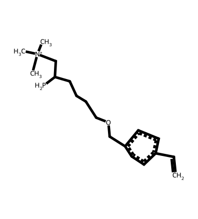 C=Cc1ccc(COCCCCC(P)C[N+](C)(C)C)cc1